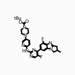 CC1Cc2nc3c(F)cc(-c4nc(Nc5ccc(N6CCN(C(=O)OC(C)(C)C)CC6)cn5)ncc4F)cc3n2C1